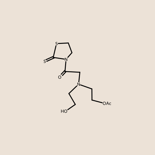 CC(=O)OCCN(CCO)CC(=O)N1CCSC1=S